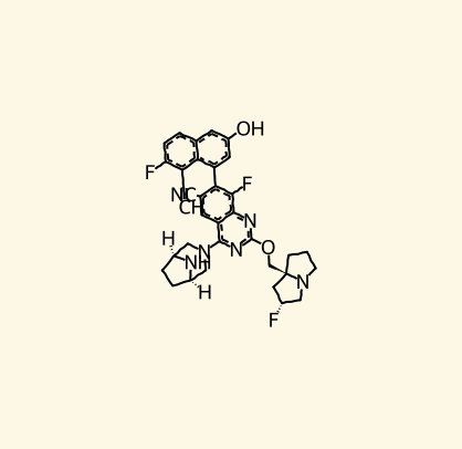 C#Cc1c(F)ccc2cc(O)cc(-c3c(C#N)cc4c(N5C[C@H]6CC[C@@H](C5)N6)nc(OC[C@@]56CCCN5C[C@H](F)C6)nc4c3F)c12